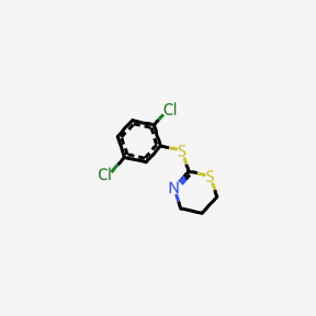 Clc1ccc(Cl)c(SC2=NCCCS2)c1